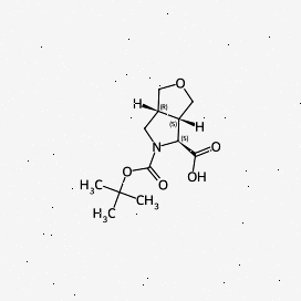 CC(C)(C)OC(=O)N1C[C@@H]2COC[C@@H]2[C@H]1C(=O)O